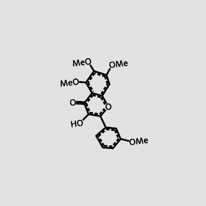 COc1cccc(-c2oc3cc(OC)c(OC)c(OC)c3c(=O)c2O)c1